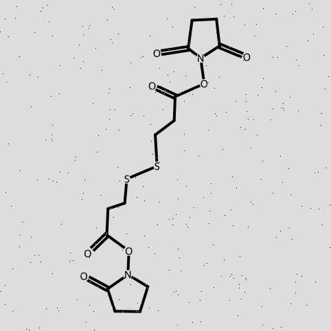 O=C(CCSSCCC(=O)ON1C(=O)CCC1=O)ON1CCCC1=O